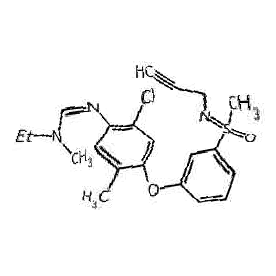 C#CCN=S(C)(=O)c1cccc(Oc2cc(Cl)c(/N=C\N(C)CC)cc2C)c1